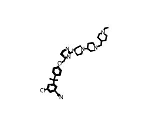 CCN1CCC(CN2CCC(N3CCN(c4nccc(COc5ccc(C(C)(C)c6cc(Cl)cc(C#N)c6)cc5)n4)CC3)CC2)CC1